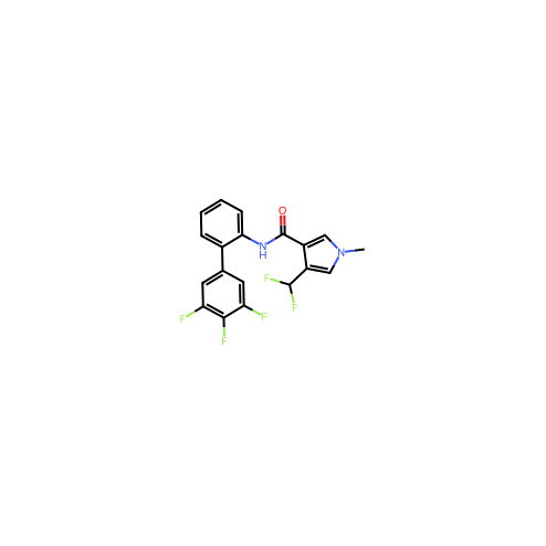 Cn1cc(C(=O)Nc2ccccc2-c2cc(F)c(F)c(F)c2)c(C(F)F)c1